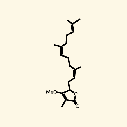 COC1=C(C)C(=O)OC1CC=C(C)CCC=C(C)CCC=C(C)C